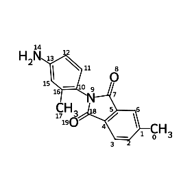 Cc1ccc2c(c1)C(=O)N(c1ccc(N)cc1C)C2=O